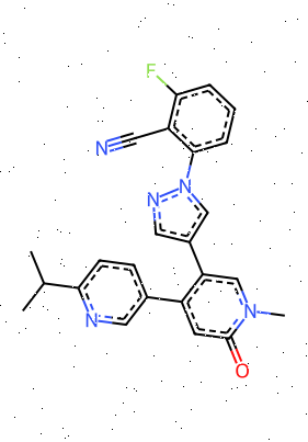 CC(C)c1ccc(-c2cc(=O)n(C)cc2-c2cnn(-c3cccc(F)c3C#N)c2)cn1